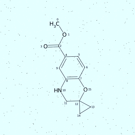 COC(=O)c1ccc2c(c1)NCC1(CC1)O2